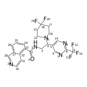 O=C(NCC(c1cnc(C(F)(F)F)nc1)N1CCC(F)(F)CC1)c1cccc2cnccc12